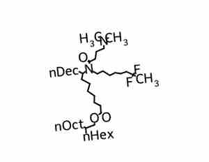 CCCCCCCCCCC(CCCCCCC(=O)OCC(CCCCCC)CCCCCCCC)N(CCCCCCC(C)(F)F)C(=O)CCCN(C)C